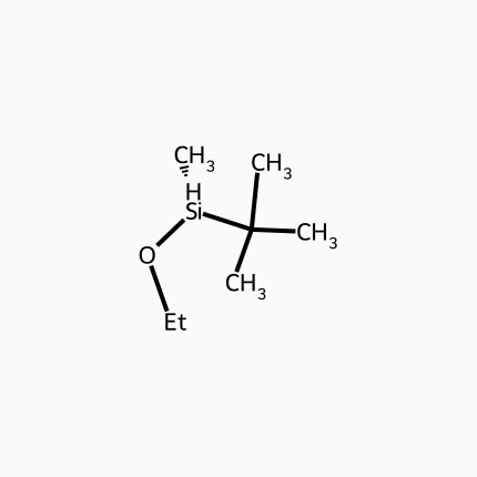 CCO[Si@H](C)C(C)(C)C